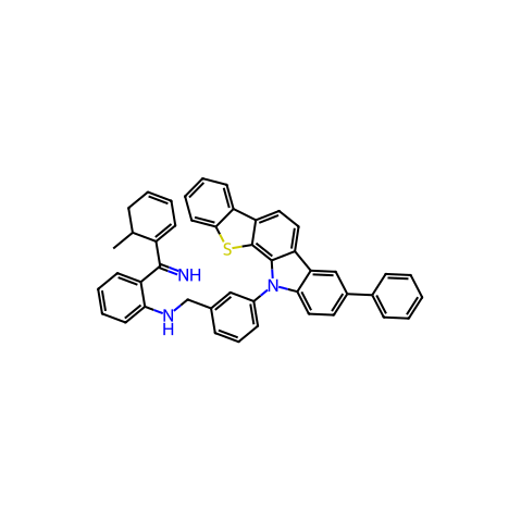 CC1CC=CC=C1C(=N)c1ccccc1NCc1cccc(-n2c3ccc(-c4ccccc4)cc3c3ccc4c5ccccc5sc4c32)c1